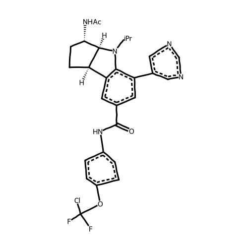 CC(=O)N[C@H]1CC[C@@H]2c3cc(C(=O)Nc4ccc(OC(F)(F)Cl)cc4)cc(-c4cncnc4)c3N(C(C)C)[C@H]12